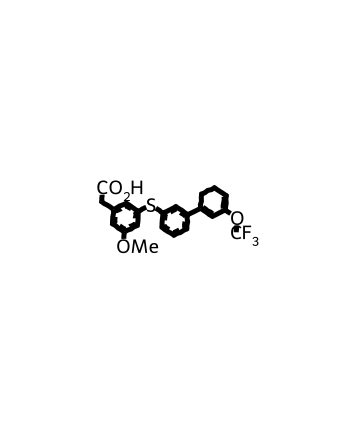 COc1cc(CC(=O)O)cc(Sc2cccc(C3=CC(OC(F)(F)F)=CCC3)c2)c1